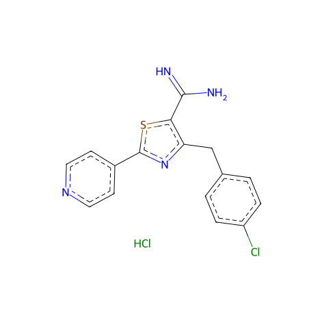 Cl.N=C(N)c1sc(-c2ccncc2)nc1Cc1ccc(Cl)cc1